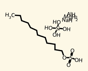 CCCCCCCCCCCCOS(=O)(=O)O.O[Si](O)(O)O.[AlH3].[MgH2].[NaH]